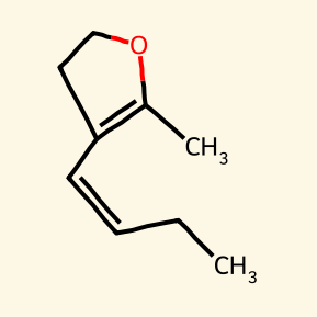 CC/C=C\C1=C(C)OCC1